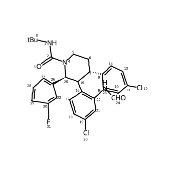 CC(C)(C)NC(=O)N1CC[C@H](c2ccc(Cl)cc2)C(c2ccc(Cl)cc2NC=O)[C@H]1c1cccc(F)c1